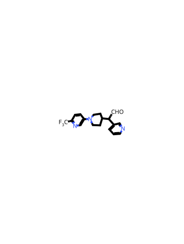 O=CC(c1cccnc1)C1CCN(c2ccc(C(F)(F)F)nc2)CC1